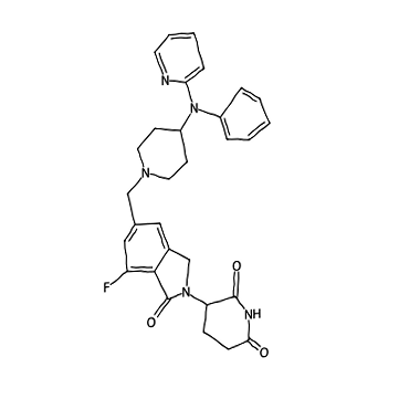 O=C1CCC(N2Cc3cc(CN4CCC(N(c5ccccc5)c5ccccn5)CC4)cc(F)c3C2=O)C(=O)N1